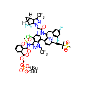 CC(C)(C)OP(=O)(OCOC(=O)c1ccccc1C(=O)N(c1nn(CC(F)(F)F)c2c(-c3ccc(C#CC(C)(C)S(C)(=O)=O)nc3[C@H](Cc3cc(F)cc(F)c3)NC(=O)Cn3nc(C(F)(F)F)c4c3C(F)(F)[C@@H]3C[C@H]43)ccc(Cl)c12)S(C)(=O)=O)OC(C)(C)C